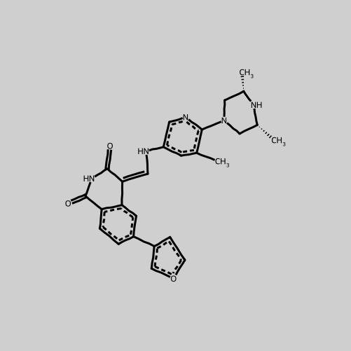 Cc1cc(NC=C2C(=O)NC(=O)c3ccc(-c4ccoc4)cc32)cnc1N1C[C@@H](C)N[C@@H](C)C1